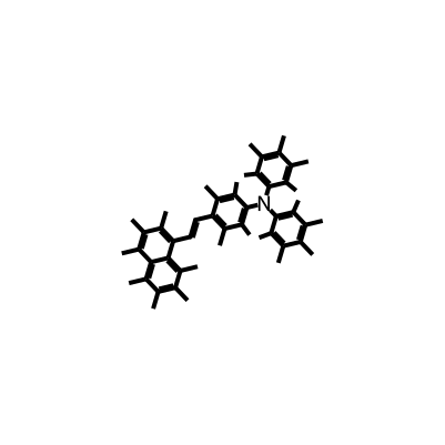 Cc1c(C)c(C)c(N(c2c(C)c(C)c(C)c(C)c2C)c2c(C)c(C)c(/C=C/c3c(C)c(C)c(C)c4c(C)c(C)c(C)c(C)c34)c(C)c2C)c(C)c1C